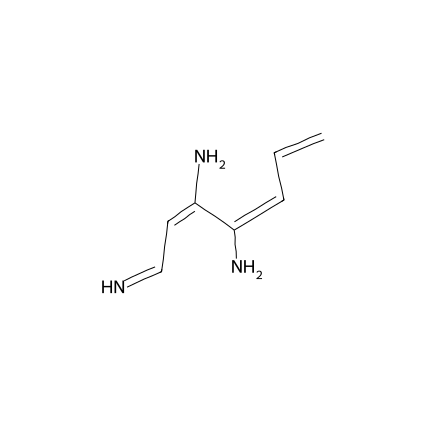 C=C/C=C(N)\C(N)=C/C=N